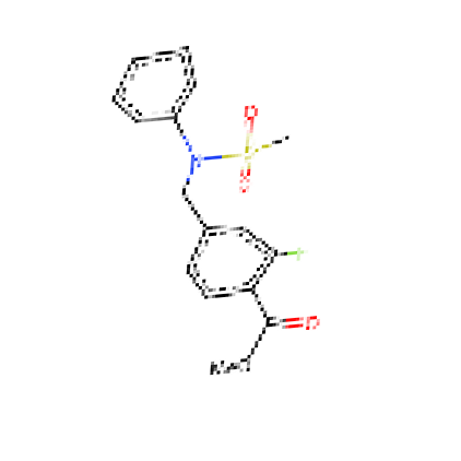 COC(=O)c1ccc(CN(c2ccccc2)S(C)(=O)=O)cc1F